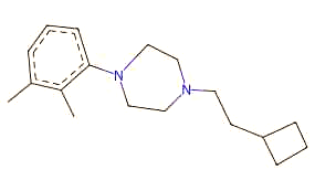 Cc1cccc(N2CCN(CCC3CCC3)CC2)c1C